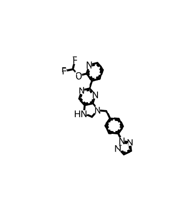 FC(F)Oc1ncccc1-c1ncc2c(n1)N(Cc1ccc(-n3nccn3)cc1)CN2